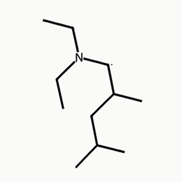 CCN([CH]C(C)CC(C)C)CC